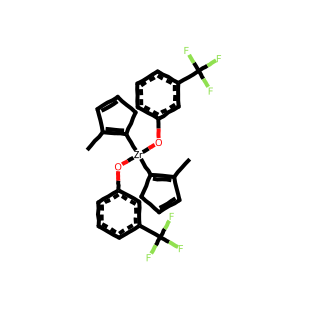 CC1=[C]([Zr]([O]c2cccc(C(F)(F)F)c2)([O]c2cccc(C(F)(F)F)c2)[C]2=C(C)C=CC2)CC=C1